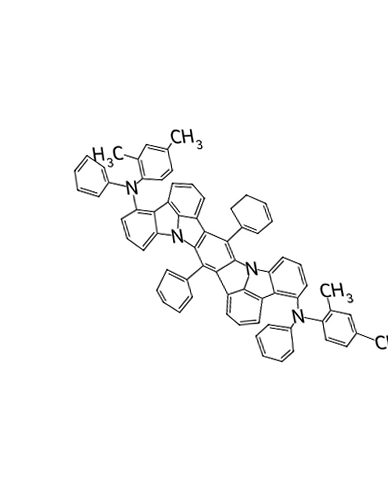 Cc1ccc(N(c2ccccc2)c2cccc3c2c2cccc4c5c(-c6ccccc6)c6c(c(C7=CC=CCC7)c5n3c24)c2cccc3c4c(N(c5ccccc5)c5ccc(C)cc5C)cccc4n6c32)c(C)c1